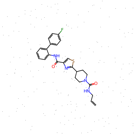 C=CCNC(=O)N1CCC(c2nc(C(=O)Nc3ccccc3-c3ccc(F)cc3)cs2)CC1